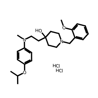 COc1ccccc1CN1CCC(O)(CCN(C)c2ccc(OC(C)C)cc2)CC1.Cl.Cl